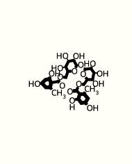 Cc1cc(O)cc(O)c1C(=O)OCC1O[C@H](O[C@H]2OC(COC(=O)c3c(C)cc(O)cc3O)[C@@H](O)[C@H](O)C2O)C(O)[C@@H](O)[C@@H]1O